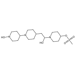 CS(=O)(=O)OC1CCN(C(O)CC2CCN(C3CCN(O)CC3)CC2)CC1